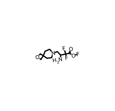 NC(CN1CCC2(CC1)COC2)C(F)(F)C(=O)OF